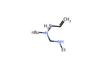 C=C[SiH2]N(CCCC)CNCC